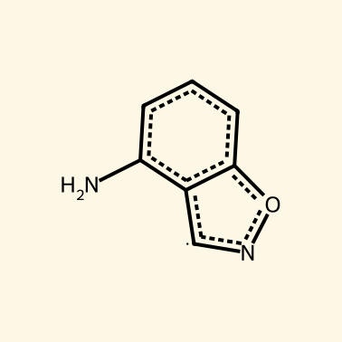 Nc1cccc2on[c]c12